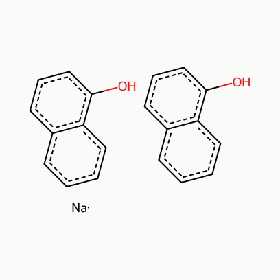 Oc1cccc2ccccc12.Oc1cccc2ccccc12.[Na]